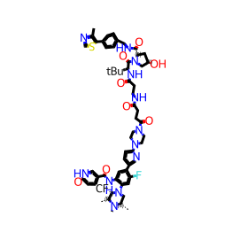 Cc1ncsc1-c1ccc(CNC(=O)[C@@H]2C[C@@H](O)CN2C(=O)C(NC(=O)CCNC(=O)CCC(=O)N2CCN(c3ccc(-c4cc(NC(=O)c5c[nH]c(=O)cc5C(F)(F)F)c(N5C[C@@H](C)N(C)[C@@H](C)C5)cc4F)cn3)CC2)C(C)(C)C)cc1